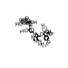 COc1ccc(C(OCc2cn([C@H]3CC(O)[C@@H](COP(=O)(O)OP(=O)(O)OP(=O)(O)O)O3)c3ncnc(N)c23)C(C)C)c([N+](=O)[O-])c1